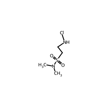 CN(C)S(=O)(=O)CCNCl